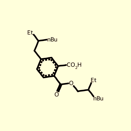 CCCCC(CC)COC(=O)c1ccc(CC(CC)CCCC)cc1C(=O)O